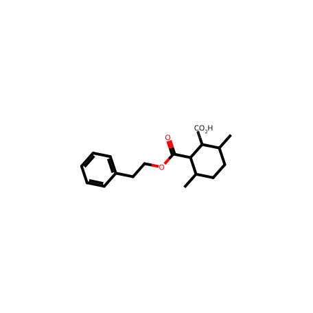 CC1CCC(C)C(C(=O)OCCc2ccccc2)C1C(=O)O